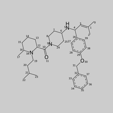 CC(C)=CC(NC1CCN(C(=O)C2CCCC(C)N2CCC(C)C)CC1)c1ccc(OCc2ccccc2)cc1